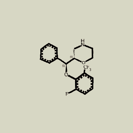 Fc1cccc(C(F)(F)F)c1O[C@@H](c1ccccc1)[C@@H]1CNCCO1